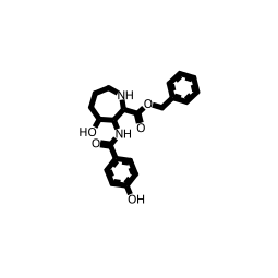 O=C(NC1C(O)CCCNC1C(=O)OCc1ccccc1)c1ccc(O)cc1